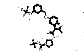 Cc1oc2ccc(OCc3cccc(OC(F)(F)F)c3)cc2c1C(=O)N[C@@H]1CCN(C(=O)OC(C)(C)C)C1